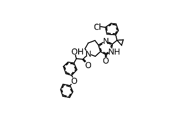 O=C(C(O)c1cccc(Oc2ccccc2)c1)N1CCCc2nc(C3(c4cccc(Cl)c4)CC3)[nH]c(=O)c2C1